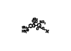 C[SiH](C)OC(c1ccc2c(c1)cc(-c1cc([N+](=O)[O-])cn(COCC[Si](C)(C)C)c1=O)n2C(=O)OC(C)(C)C)C(C)(C)C